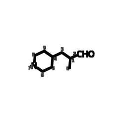 CC(C=O)CC1CC[N]CC1